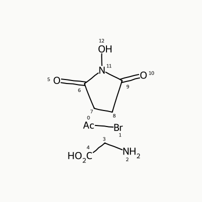 CC(=O)Br.NCC(=O)O.O=C1CCC(=O)N1O